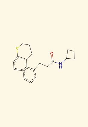 O=C(CCc1cccc2ccc3c(c12)CCCS3)NC1CCC1